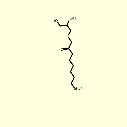 CCCCCCCCCCCCCCCC(=O)COCC(CO)OC